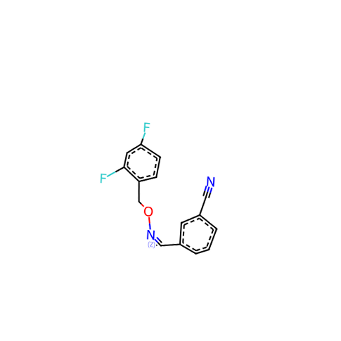 N#Cc1cccc(/[C]=N\OCc2ccc(F)cc2F)c1